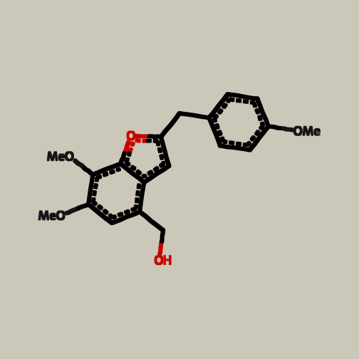 COc1ccc(Cc2cc3c(CO)cc(OC)c(OC)c3o2)cc1